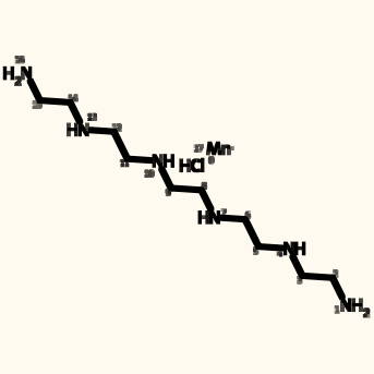 Cl.NCCNCCNCCNCCNCCN.[Mn]